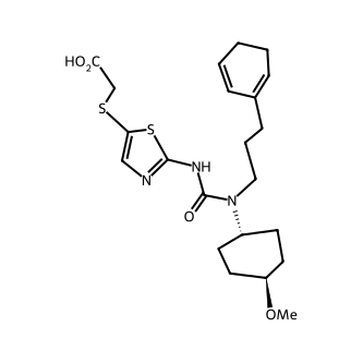 CO[C@H]1CC[C@H](N(CCCC2=CCCC=C2)C(=O)Nc2ncc(SCC(=O)O)s2)CC1